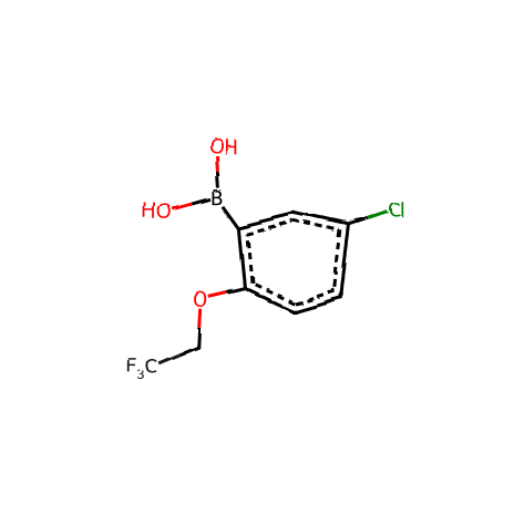 OB(O)c1cc(Cl)ccc1OCC(F)(F)F